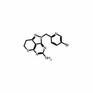 Nc1nc2c3c(nn(Cc4ccc(Br)cn4)c3n1)CCS2